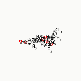 CC1=CCC(C(C)(C)c2ccc(OC(C)C(C)(C)OCC(C)(C)OC(C)OC(C)(C)c3ccc(C(C)(C)c4ccc(OCC5CO5)cc4)cc3)cc2)=CC1